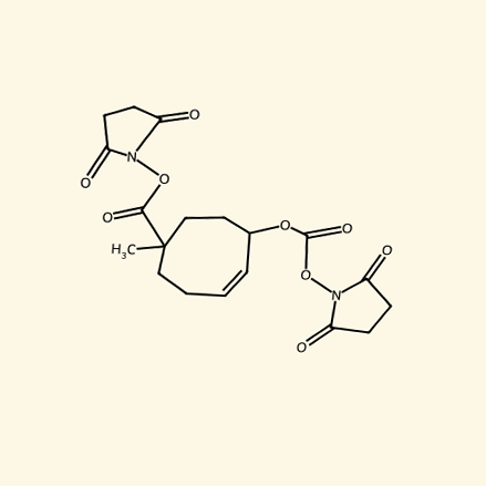 CC1(C(=O)ON2C(=O)CCC2=O)CC/C=C\C(OC(=O)ON2C(=O)CCC2=O)CC1